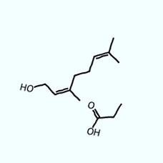 CC(C)=CCC/C(C)=C\CO.CCC(=O)O